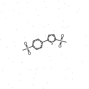 CS(=O)(=O)c1ccc(-c2ccc(S(C)(=O)=O)s2)cc1